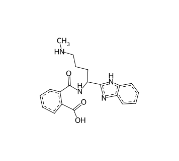 CNCCCC(NC(=O)c1ccccc1C(=O)O)c1nc2ccccc2[nH]1